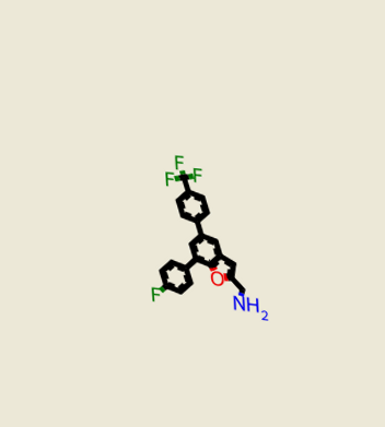 NCc1cc2cc(-c3ccc(C(F)(F)F)cc3)cc(-c3ccc(F)cc3)c2o1